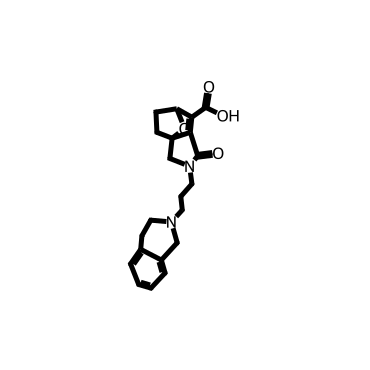 O=C(O)C1=C2C(=O)N(CCCN3CCc4ccccc4C3)CC23CCC1O3